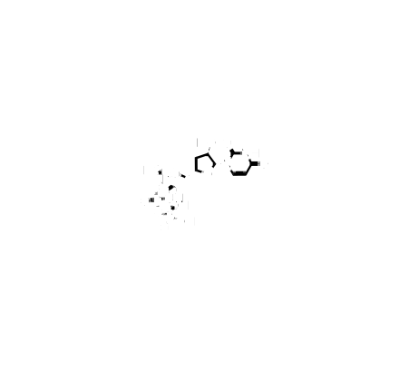 O=c1ccn([C@@H]2O[C@H](COP(=O)(O)OP(=O)(O)OP(=O)(O)O)C[C@H]2O)c(=O)[nH]1